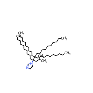 CCCCCCCCCCC(CCCCCCCCCC)(CCCCCCCCCC)[C@](CCCCCCCCCC)(CC(C)C)n1ccnc1